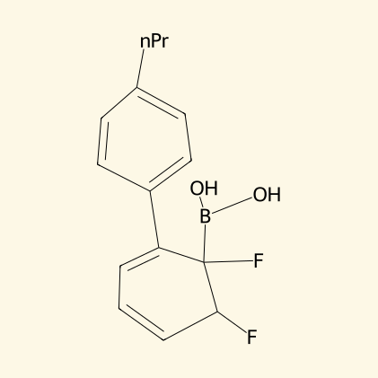 CCCc1ccc(C2=CC=CC(F)C2(F)B(O)O)cc1